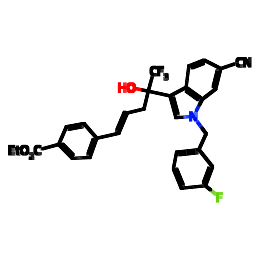 CCOC(=O)c1ccc(/C=C/CC(O)(c2cn(Cc3cccc(F)c3)c3cc(C#N)ccc23)C(F)(F)F)cc1